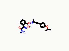 CNC(=O)/C(=N/OC)c1ccccc1CO/N=C(\C)C#Cc1ccc(OC(C)C)cc1